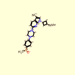 CN[C@H]1C[C@H](n2cc(C#N)c3ccc(N4CCN(c5ccc([S+](C)[O-])cc5)CC4)nc32)C1